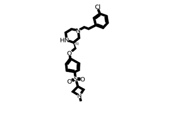 CN1CC(S(=O)(=O)c2ccc(OC[C@@H]3CN(CCc4cccc(Cl)c4)CCN3)cc2)C1